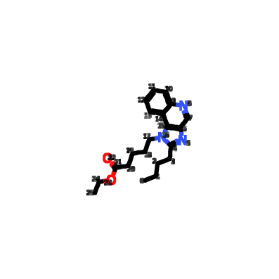 CCCCc1nc2cnc3ccccc3c2n1CCCCC(=O)OCC